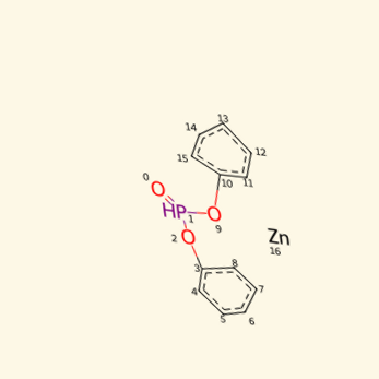 O=[PH](Oc1ccccc1)Oc1ccccc1.[Zn]